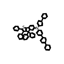 c1ccc(-c2ccc(-c3ccc(N(c4ccc(-c5ccccc5)cc4)c4ccc5c(c4)C(c4ccccc4)(c4ccccc4)c4c-5sc(-c5ccccc5)c4-c4ccccc4)cc3)cc2)cc1